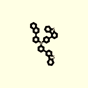 c1cc(-c2ccc3ccccc3c2)cc(N(c2ccc(-c3cccc4sc5ccccc5c34)cc2)c2cccc(-c3ccc4sc5ccccc5c4c3)c2)c1